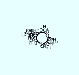 CCC1OC(=O)C(C)C(=O)C(C)C(OC2OC(C)CC(N(C)C)C2O)C(C)(O)CC(C)CN(C)C(C)C(O)C1(C)O